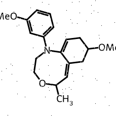 COc1cccc(N2CCOC(C)/C=C3/CC(OC)CC=C32)c1